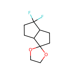 FC1(F)CCC2C1CCC21OCCO1